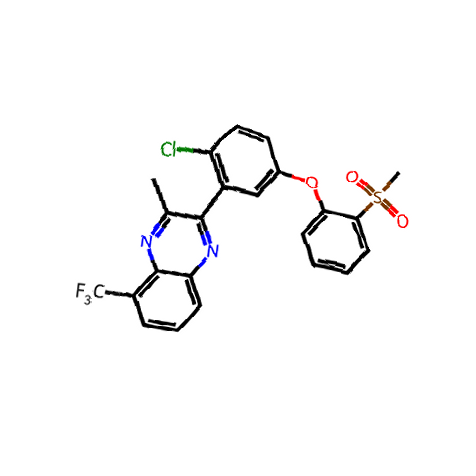 Cc1nc2c(C(F)(F)F)cccc2nc1-c1cc(Oc2ccccc2S(C)(=O)=O)ccc1Cl